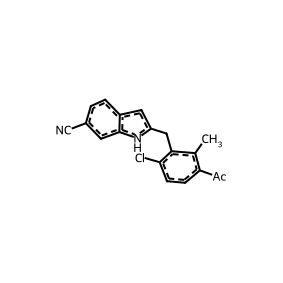 CC(=O)c1ccc(Cl)c(Cc2cc3ccc(C#N)cc3[nH]2)c1C